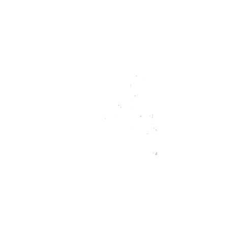 CC(O)C(N)c1nnc([C@H](CC(N)=O)NC(=O)N[C@@H](CO)C(=O)O)s1